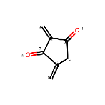 C=C1CC(=O)C(=C)C1=O